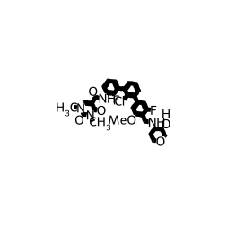 COc1cc(-c2cccc(-c3cccc(NC(=O)c4cn(C)c(=O)n(C)c4=O)c3F)c2Cl)cc(F)c1CN[C@@H]1CCOC[C@@H]1O